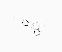 CCOC(=O)N1C(=O)N(Cc2ccc(OC)cc2)c2ccccc2C1O